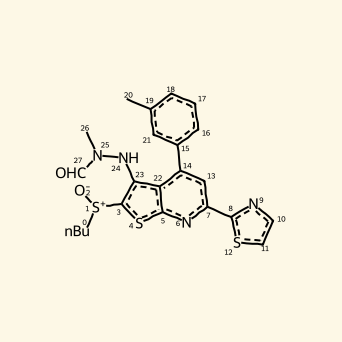 CCCC[S+]([O-])c1sc2nc(-c3nccs3)cc(-c3cccc(C)c3)c2c1NN(C)C=O